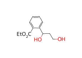 CCOC(=O)c1ccccc1C(O)CCO